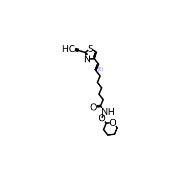 C#Cc1nc(/C=C/CCCCCC(=O)NOC2CCCCO2)cs1